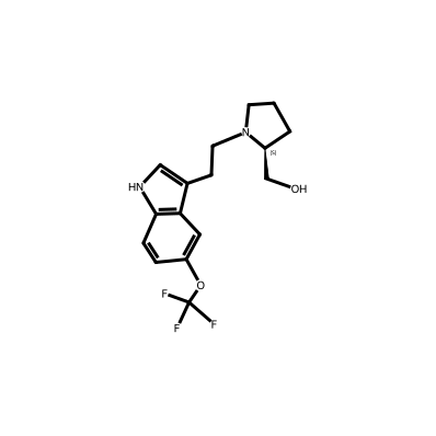 OC[C@@H]1CCCN1CCc1c[nH]c2ccc(OC(F)(F)F)cc12